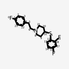 Fc1ccc(CCN2CCC(Sc3ccc(F)cc3F)CC2)cc1